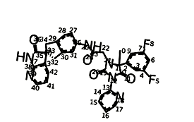 CC1(c2cc(F)cc(F)c2)C(=O)N(c2ccccn2)C(=O)N1CC(=O)Nc1ccc2c(c1)C[C@@]1(C2)C(=O)Nc2ncccc21